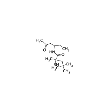 CCC(CC(C)=O)NC(=O)C(C)(S)CC(C)(C)C